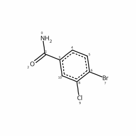 NC(=O)c1ccc(Br)c(Cl)c1